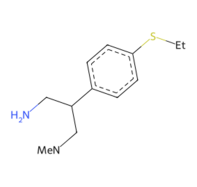 CCSc1ccc(C(CN)CNC)cc1